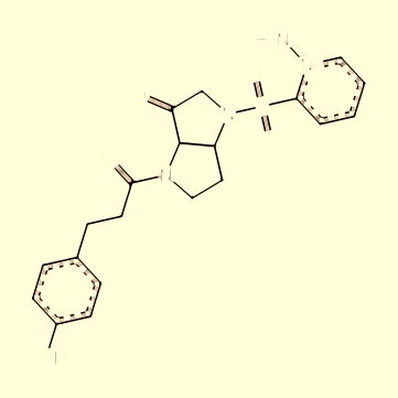 N[n+]1ccccc1S(=O)(=O)N1CC(=O)C2C1CCN2C(=O)[CH]Cc1ccc(O)cc1